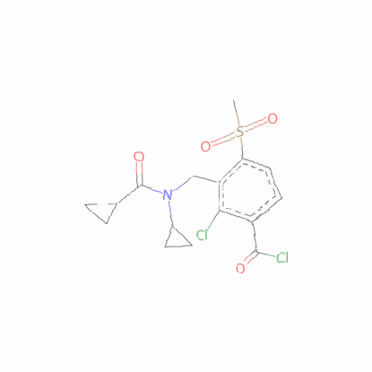 CS(=O)(=O)c1ccc(C(=O)Cl)c(Cl)c1CN(C(=O)C1CC1)C1CC1